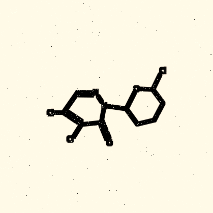 O=c1c(Cl)c(Cl)cnn1C1CCCC(Cl)O1